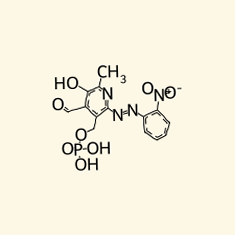 Cc1nc(N=Nc2ccccc2[N+](=O)[O-])c(COP(=O)(O)O)c(C=O)c1O